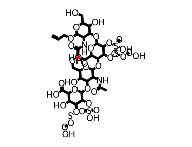 C=CCOC1OC(CO)C(O)C(OC2OC(C(=O)O)C(OC3OC(CO)C(O)C(OC4OC(C(=O)O)C(O)C(OSOOO)C4OS(=O)(=O)O)C3NC(C)=O)C(OSOOO)C2OS(=O)(=O)O)C1NC(C)=O